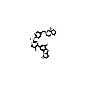 C[C@H]1CCc2nc3c(F)cc(-c4nc(Nc5ccc(CN6CCN7CCC[C@@H]7C6)cn5)ncc4F)cc3n21